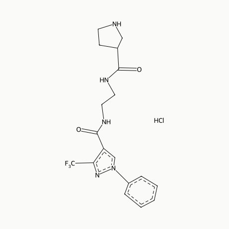 Cl.O=C(NCCNC(=O)C1CCNC1)c1cn(-c2ccccc2)nc1C(F)(F)F